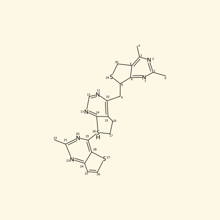 Cc1nc(C)c2c(n1)C(Cc1ncnc3c1CC[SH]3c1nc(C)nc3ccsc13)SC2